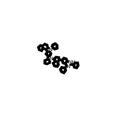 C1=Cc2c(n(-c3ccc(-c4ccc5c(c4)C(c4ccccc4)=NC(c4ccccc4)N5)c4ccccc34)c3c2=CC2C4c5ccccc5C=CC4N(c4ccccc4)C2C=3)CC1